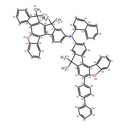 CC1(C)c2cc(N(c3ccc4c(c3)C(C)(C)c3c5c(c6oc7ccccc7c6c3-4)-c3ccccc3C5(C)C)c3cccc4ccccc34)ccc2-c2c1cc(-c1ccc(-c3ccccc3)cc1)c1oc3ccccc3c21